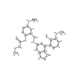 CCOC(=O)Cc1ccc(CN)cc1OCc1cc(-c2cccc(CC)c2F)c2occc2c1